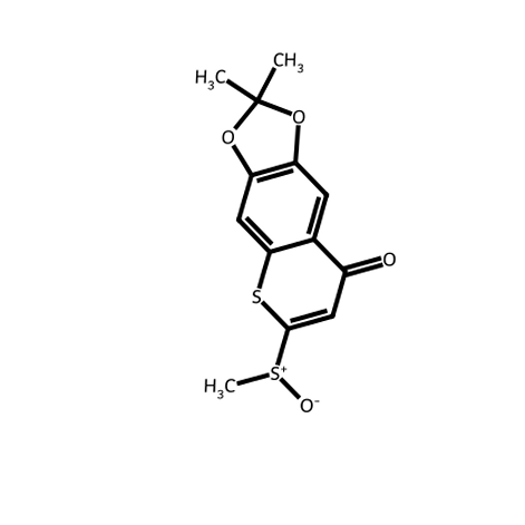 C[S+]([O-])c1cc(=O)c2cc3c(cc2s1)OC(C)(C)O3